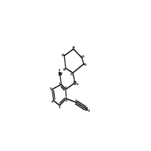 N#Cc1cccc(Br)c1OC1CCCCC1